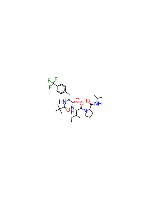 CCC(C)[C@H](NC(=O)[C@@H](Cc1ccc(C(F)(F)F)cc1)NC(=O)C(C)(C)C)C(=O)N1CCC[C@@H]1C(=O)NC(C)C